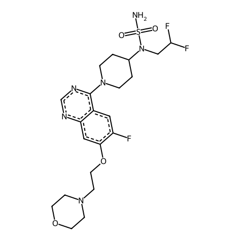 NS(=O)(=O)N(CC(F)F)C1CCN(c2ncnc3cc(OCCN4CCOCC4)c(F)cc23)CC1